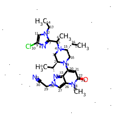 CC[C@H]1CN(C(C)c2nc(Cl)cn2CC)[C@H](CC)CN1c1cc(=O)n(C)c2cn(CC#N)nc12